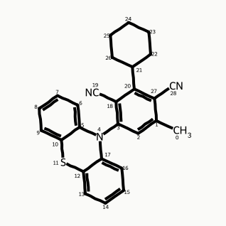 Cc1cc(N2c3ccccc3Sc3ccccc32)c(C#N)c(C2CCCCC2)c1C#N